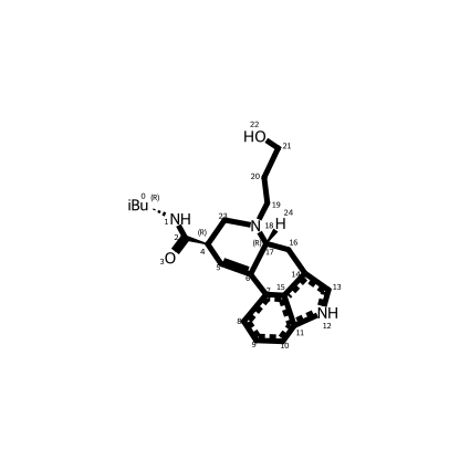 CC[C@@H](C)NC(=O)[C@@H]1C=C2c3cccc4[nH]cc(c34)C[C@H]2N(CCCO)C1